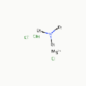 CCN(CC)CC.Cl.[Cl-].[Cl-].[Mg+2]